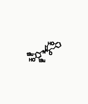 CC(C)(C)c1cc(/C=N/NC(=O)CCc2ccccc2O)cc(C(C)(C)C)c1O